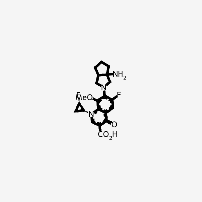 COc1c(N2CC3CCCC3(N)C2)c(F)cc2c(=O)c(C(=O)O)cn([C@@H]3C[C@@H]3F)c12